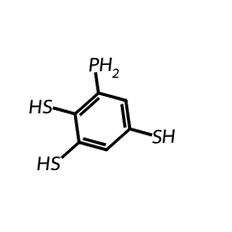 Pc1cc(S)cc(S)c1S